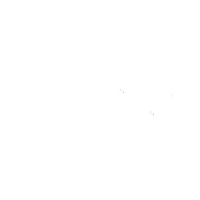 CN(S)C(=O)Nc1ccc(O)cc1